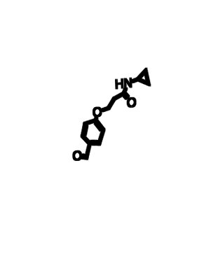 O=Cc1ccc(OCCC(=O)NC2CC2)cc1